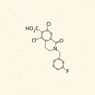 O=C(O)c1c(Cl)cc2c(c1Cl)CCN(Cc1cccc(F)c1)C2=O